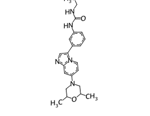 CCNC(=O)Nc1cccc(-c2cnc3cc(N4CC(C)OC(C)C4)ccn23)c1